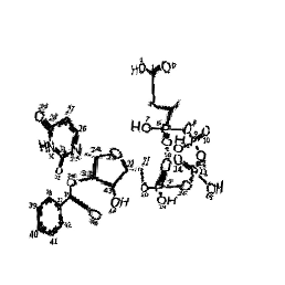 O=C(O)CCP(=O)(O)OP(=O)(O)OP(=O)(O)OP(=O)(O)OC[C@H]1O[C@@H](n2ccc(=O)[nH]c2=O)C(OC(=O)c2ccccc2)C1O